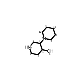 OC1CCNCC1N1CC[CH]CC1